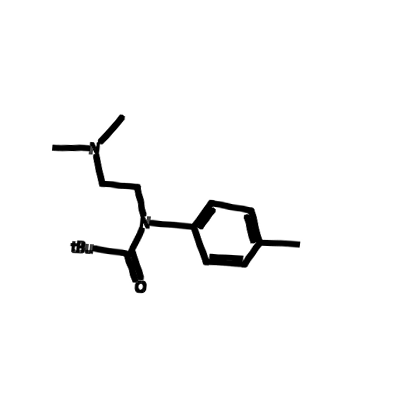 Cc1ccc(N(CCN(C)C)C(=O)C(C)(C)C)cc1